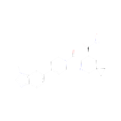 Cn1cnc2ccc(C3=CCN(C(=O)[C@H]4NCC5(CC5)C[C@@H]4C(=O)NO)CC3)cc21